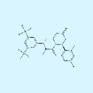 Cc1cc(F)ccc1[C@@H]1CC(=O)CCN1C(=O)N(C)[C@@H](C)c1cc(C(F)(F)F)cc(C(F)(F)F)c1